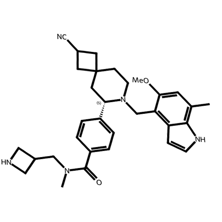 COc1cc(C)c2[nH]ccc2c1CN1CCC2(CC(C#N)C2)C[C@H]1c1ccc(C(=O)N(C)CC2CNC2)cc1